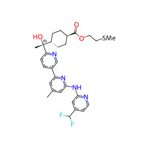 CSCCOC(=O)[C@H]1CC[C@H]([C@@](C)(O)c2ccc(-c3cc(C)cc(Nc4cc(C(F)F)ccn4)n3)cn2)CC1